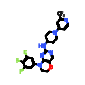 Fc1cc(N2CCOc3cnc(NC4CCN(c5ccnc(C(F)(F)F)c5)CC4)nc32)cc(F)c1F